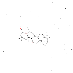 CC1(C)CC[C@]2(OC=O)CC[C@]3(C)[C@H]([C@H](O)C[C@@H]4[C@@]5(C)CC[C@H](O)C(C)(C)[C@@H]5CC[C@]43C)[C@@H]2C1